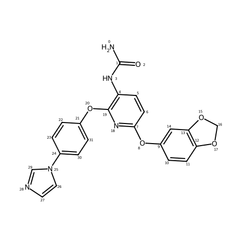 NC(=O)Nc1ccc(Oc2ccc3c(c2)OCO3)nc1Oc1ccc(-n2ccnc2)cc1